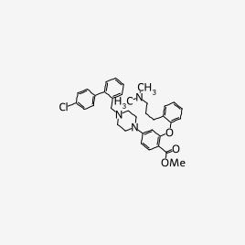 COC(=O)c1ccc(N2CCN(Cc3ccccc3-c3ccc(Cl)cc3)CC2)cc1Oc1ccccc1CCCN(C)C